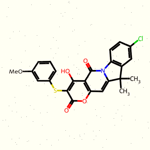 COc1cccc(Sc2c(O)c3c(=O)n4c(cc3oc2=O)C(C)(C)c2cc(Cl)ccc2-4)c1